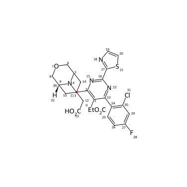 CCOC(=O)c1c(CN2C3COC[C@H]2CC(CC(=O)O)C3)nc(-c2nccs2)nc1-c1ccc(F)cc1Cl